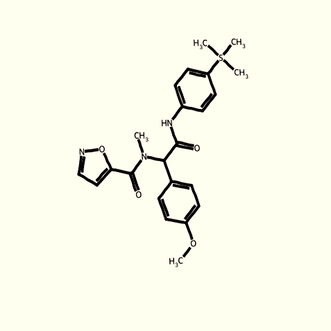 COc1ccc(C(C(=O)Nc2ccc(S(C)(C)C)cc2)N(C)C(=O)c2ccno2)cc1